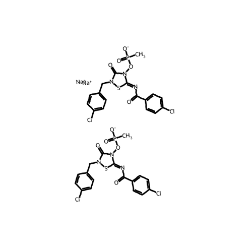 CP(=O)([O-])On1c(=O)n(Cc2ccc(Cl)cc2)s/c1=N\C(=O)c1ccc(Cl)cc1.CP(=O)([O-])On1c(=O)n(Cc2ccc(Cl)cc2)s/c1=N\C(=O)c1ccc(Cl)cc1.[Na+].[Na+]